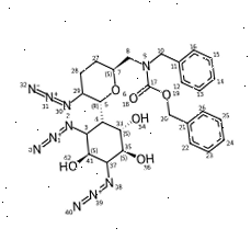 [N-]=[N+]=NC1C([C@H]2O[C@H](CN(Cc3ccccc3)C(=O)OCc3ccccc3)CCC2N=[N+]=[N-])[C@H](O)[C@@H](O)C(N=[N+]=[N-])[C@H]1O